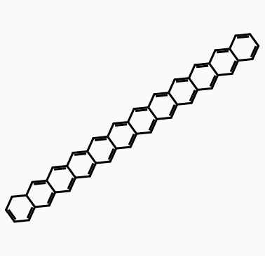 C1=CCC2C=c3cc4cc5cc6cc7cc8cc9cc%10cc%11cc%12ccccc%12cc%11cc%10cc9cc8cc7cc6cc5cc4cc3=CC2=C1